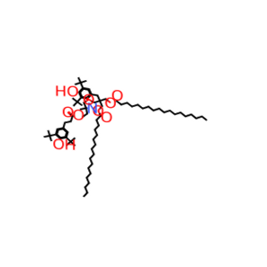 CCCCCCCCCCCCCCCCCC(=O)OCC(COC(=O)CCCCCCCCCCCCCCCCC)(Cc1cc(C(C)(C)C)c(O)c(C(C)(C)C)c1)C1=NC(CC)(COC(=O)CCc2cc(C(C)(C)C)c(O)c(C(C)(C)C)c2)CO1